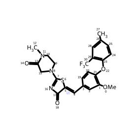 COc1cc(/C=C2\SC(N3CCN(C)C(=O)C3)=NC2=O)ccc1Oc1ccc(C)cc1C(F)(F)F